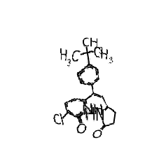 CC(C)(C)c1ccc(/C(=C/[C@H]2CCC(=O)N2)c2ccc(Cl)c(=O)[nH]2)cc1